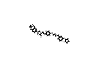 CC1(C)OCc2cc([C@@H]3CN(CCc4ccc(OCCOCc5cccc(SC6CCCC6)c5)cc4)C(=O)O3)ccc2O1